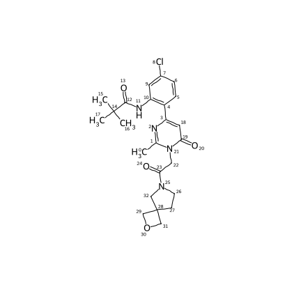 Cc1nc(-c2ccc(Cl)cc2NC(=O)C(C)(C)C)cc(=O)n1CC(=O)N1CCC2(COC2)C1